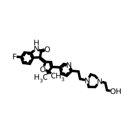 CC1(C)O/C(=C2/C(=O)Nc3cc(F)ccc32)C=C1c1ccc(CCN2CCN(CCO)CC2)nc1